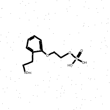 CCCCCCCCCCCCc1ccccc1OCCOP(=O)(O)O